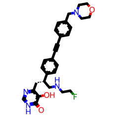 O=c1[nH]cnc(C[C@@H](CNCCF)c2ccc(C#Cc3ccc(CN4CCOCC4)cc3)cc2)c1O